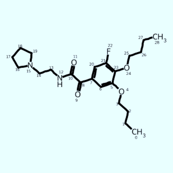 CCCCOc1cc(C(=O)C(=O)NCCN2CCCC2)cc(F)c1OCCCC